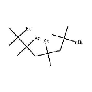 CCCCC(C)(C)CC(C)(CC(C)(C(C)=O)C(C)(C)CC)C(C)=O